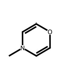 CN1C=[C]OC=C1